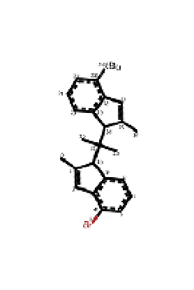 CC1=Cc2c(Br)cccc2C1C(C)(C)C1C(C)=Cc2c1cccc2C(C)(C)C